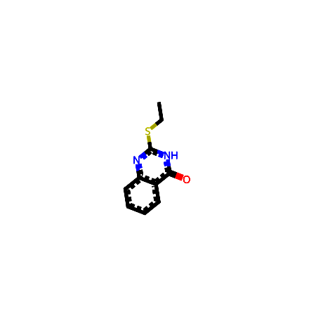 CCSc1nc2ccccc2c(=O)[nH]1